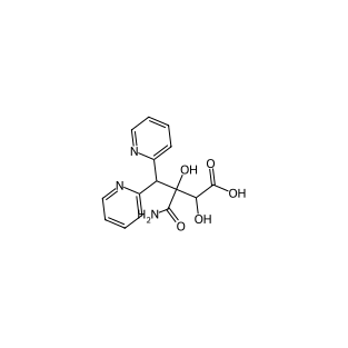 NC(=O)C(O)(C(O)C(=O)O)C(c1ccccn1)c1ccccn1